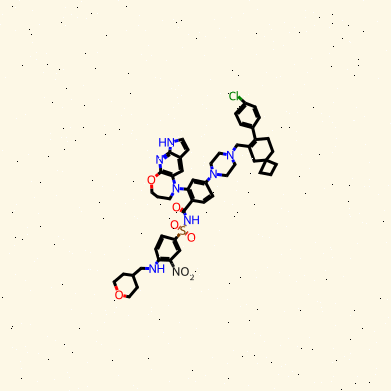 O=C(NS(=O)(=O)c1ccc(NCC2CCOCC2)c([N+](=O)[O-])c1)c1ccc(N2CCN(CC3=C(c4ccc(Cl)cc4)CCC4(CCC4)C3)CC2)cc1N1CCCOc2nc3[nH]ccc3cc21